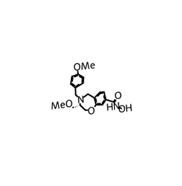 COC[C@H]1COc2cc(C(=O)NO)ccc2CN1Cc1ccc(OC)cc1